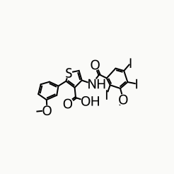 COc1cccc(-c2scc(NC(=O)c3cc(I)c(I)c(OC)c3I)c2C(=O)O)c1